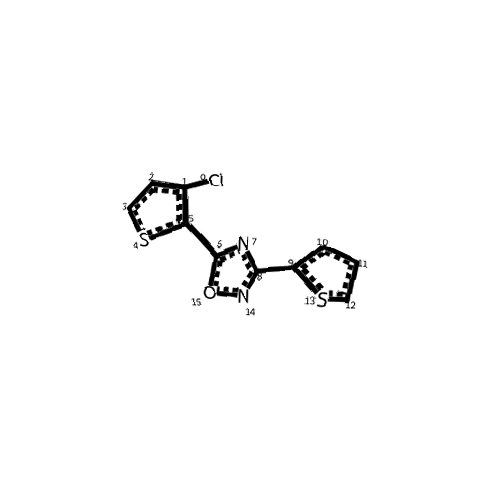 Clc1ccsc1-c1nc(-c2cccs2)no1